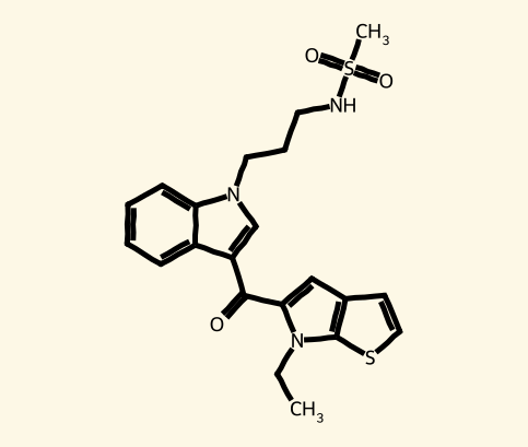 CCn1c(C(=O)c2cn(CCCNS(C)(=O)=O)c3ccccc23)cc2ccsc21